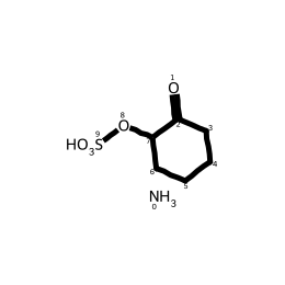 N.O=C1CCCCC1OS(=O)(=O)O